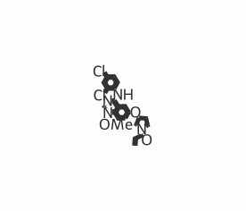 C=CC(=O)N1CCC(Oc2cc3c(Nc4ccc(Cl)cc4Cl)ncnc3cc2OC)C1